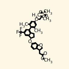 COC(=O)CC1COc2cc(O[C@@H]3CCc4c(-c5c(C)cc(OCC(C)(C)S(C)(=O)=O)cc5C)cc(C(F)(F)F)cc43)ccc21